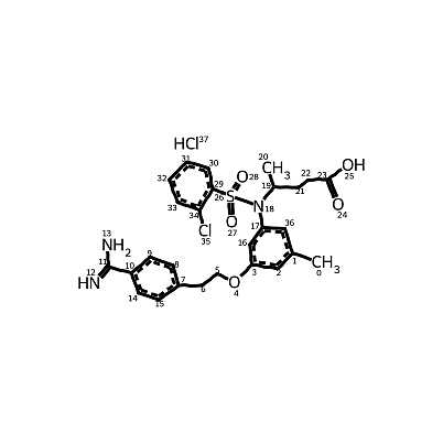 Cc1cc(OCCc2ccc(C(=N)N)cc2)cc(N(C(C)CCC(=O)O)S(=O)(=O)c2ccccc2Cl)c1.Cl